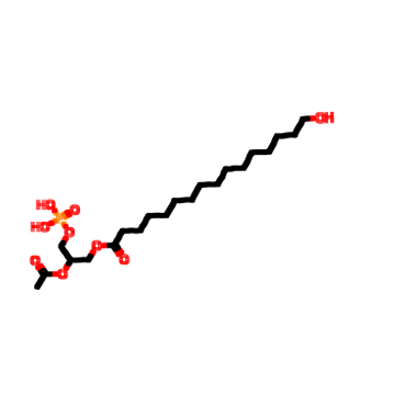 CC(=O)OC(COC(=O)CCCCCCCCCCCCCCCO)COP(=O)(O)O